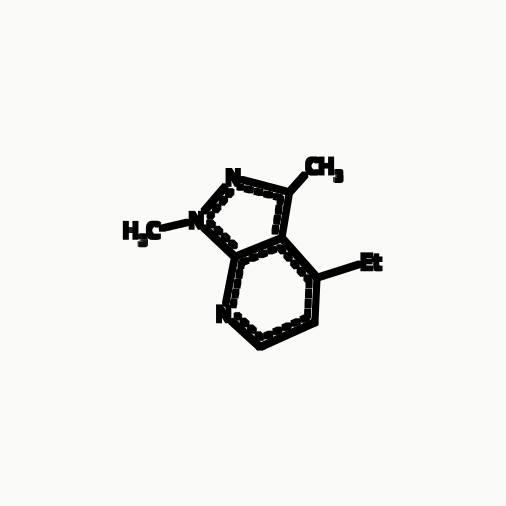 CCc1ccnc2c1c(C)nn2C